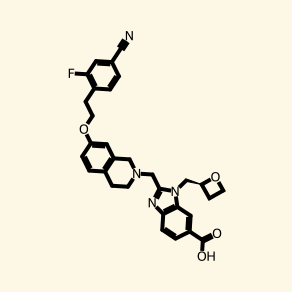 N#Cc1ccc(CCOc2ccc3c(c2)CN(Cc2nc4ccc(C(=O)O)cc4n2C[C@@H]2CCO2)CC3)c(F)c1